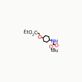 CCOC(=O)COC1CCC(NC(=O)OC(C)(C)C)CC1